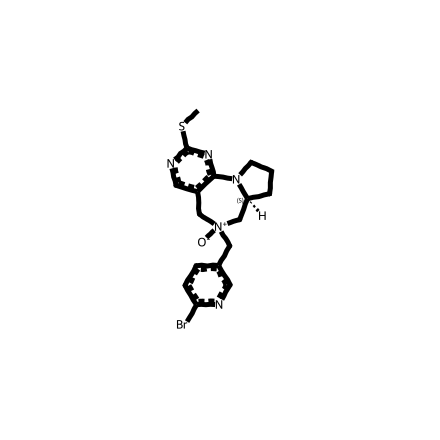 CSc1ncc2c(n1)N1CCC[C@H]1C[N+]([O-])(Cc1ccc(Br)nc1)C2